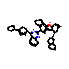 c1ccc(-c2ccc(-c3nc(-c4cc5c(oc6cccc(-c7ccc8ccccc8c7)c65)c5ccccc45)nc4ccccc34)cc2)cc1